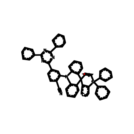 N#Cc1ccc(-c2nc(-c3ccccc3)nc(-c3ccccc3)n2)cc1N1c2ccccc2C2(c3ccccc31)c1ccccc1[Si](c1ccccc1)(c1ccccc1)c1ccccc12